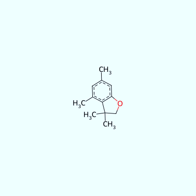 Cc1cc(C)c2c(c1)OCC2(C)C